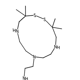 CC1(C)CNCCN(CCN)CCNCC(C)(C)SS1